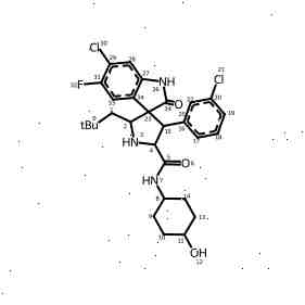 CC(C)(C)CC1NC(C(=O)NC2CCC(O)CC2)C(c2cccc(Cl)c2)C12C(=O)Nc1cc(Cl)c(F)cc12